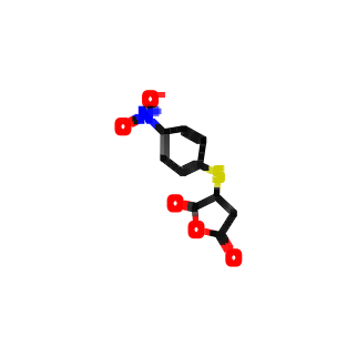 O=C1CC(Sc2ccc([N+](=O)[O-])cc2)C(=O)O1